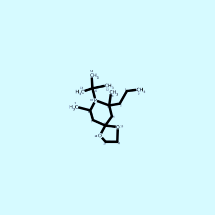 CCCC1(C)CC2(CC(C)P1C(C)(C)C)OCCO2